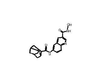 O=C(NO)c1cnc2ccc(NC(=O)C3C4CC5CC(C4)CC3C5)cc2c1